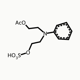 CC(=O)OCCN(CCOS(=O)(=O)O)c1ccccc1